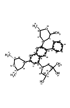 CC1CN(c2nc3nc(N4C[C@@H](C)O[C@@H](C)C4)nc(N(CCO)CC(C)(C)O)c3nc2-c2ccccc2)CC(C)O1